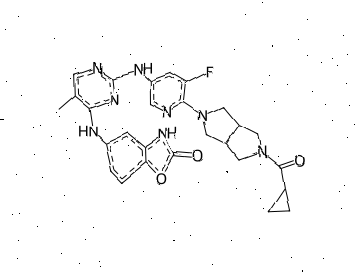 Cc1cnc(Nc2cnc(N3CC4CN(C(=O)C5CC5)CC4C3)c(F)c2)nc1Nc1ccc2oc(=O)[nH]c2c1